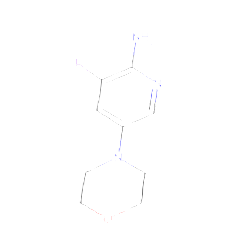 Nc1ncc(N2CCOCC2)cc1I